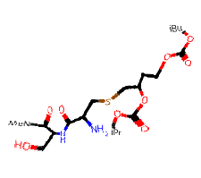 CCC(C)OC(=O)OCCC(CSCC(N)C(=O)NC(CO)C(=O)NC)OC(=O)OC(C)C